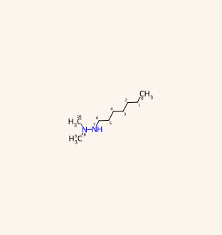 CCCCCCCNN(C)C